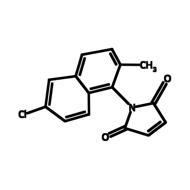 Cc1ccc2cc(Cl)ccc2c1N1C(=O)C=CC1=O